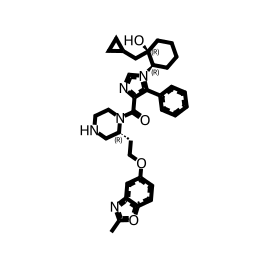 Cc1nc2cc(OCC[C@@H]3CNCCN3C(=O)c3ncn([C@@H]4CCCC[C@@]4(O)CC4CC4)c3-c3ccccc3)ccc2o1